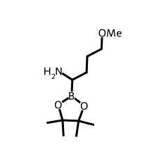 COCCCC(N)B1OC(C)(C)C(C)(C)O1